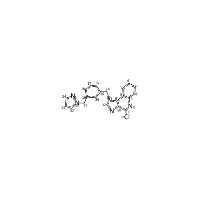 Clc1nc2ccccc2c2c1ncn2Cc1cccc(Cn2cccn2)c1